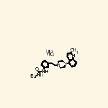 CCC(C)NC(=O)Nc1cccc(CCN2CCN(c3cccc4nc(C)ccc34)CC2)c1.Cl.Cl